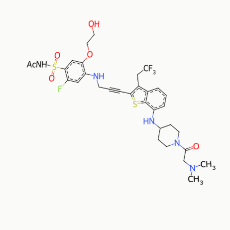 CC(=O)NS(=O)(=O)c1cc(OCCO)c(NCC#Cc2sc3c(NC4CCN(C(=O)CN(C)C)CC4)cccc3c2CC(F)(F)F)cc1F